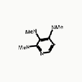 CNc1[c]cnc(NC)c1NC